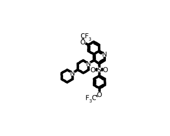 O=S(=O)(c1ccc(OC(F)(F)F)cc1)c1cnc2ccc(OC(F)(F)F)cc2c1N1CCC(N2CCCCC2)CC1